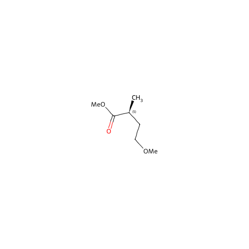 COCC[C@H](C)C(=O)OC